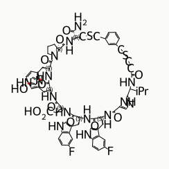 CC(C)C1NC(=O)CCSCc2cccc(c2)CSC[C@@H](C(N)=O)NC(=O)[C@]2(C)CCCN2C(=O)[C@H](Cc2ccc(O)cc2)NC(=O)[C@H](Cc2c[nH]cn2)NC(=O)[C@H](CC(=O)O)NC(=O)[C@H](Cc2c[nH]c3ccc(F)cc23)NC(=O)[C@H](Cc2c[nH]c3ccc(F)cc23)NC(=O)c2cnc1[nH]2